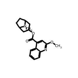 COc1cc(C(=O)OC2CC3CCC(C2)N3C)c2ccccc2n1